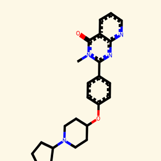 Cn1c(-c2ccc(OC3CCN(C4CCCC4)CC3)cc2)nc2ncccc2c1=O